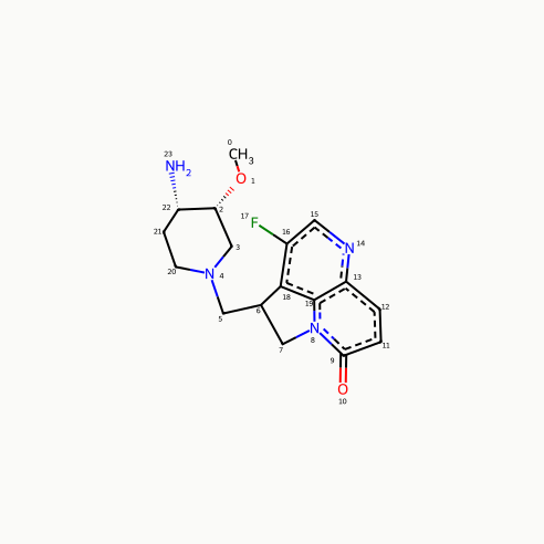 CO[C@@H]1CN(CC2Cn3c(=O)ccc4ncc(F)c2c43)CC[C@@H]1N